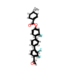 CCCC1CC=C(C(=O)Oc2ccc(-c3ccc(-c4ccc(C5CO5)c(F)c4F)cc3)c(F)c2)CC1